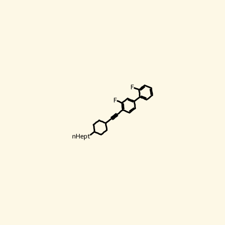 CCCCCCCC1CCC(C#Cc2ccc(-c3ccccc3F)cc2F)CC1